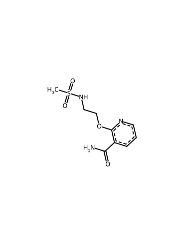 CS(=O)(=O)NCCOc1ncccc1C(N)=O